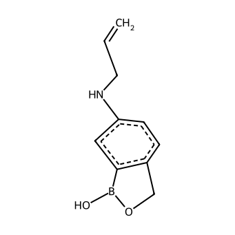 C=CCNc1ccc2c(c1)B(O)OC2